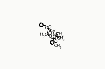 CON(C)C(=O)C(C)(COCC(C)(C)CN(C)C(=O)OCc1ccccc1)c1cccc(C)c1